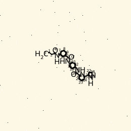 C=CCC(=O)Nc1cccc(C(=O)Nc2ccc(NC(=O)c3cccc(-c4ccn[nH]4)n3)cc2)c1